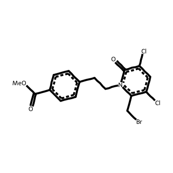 COC(=O)c1ccc(CCn2c(CBr)c(Cl)cc(Cl)c2=O)cc1